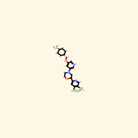 O=C(O)c1cc(C2CN(c3cncc(OC[C@H]4CC[C@H](C(F)(F)F)CC4)c3)CCO2)ncc1C(F)(F)F